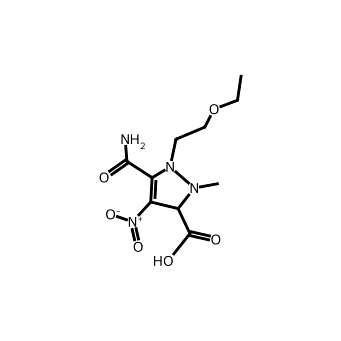 CCOCCN1C(C(N)=O)=C([N+](=O)[O-])C(C(=O)O)N1C